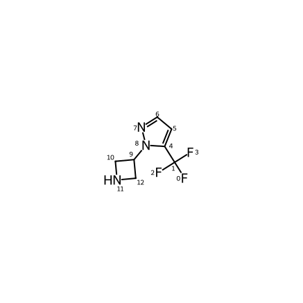 FC(F)(F)c1ccnn1C1CNC1